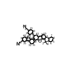 CC1(C)c2ccccc2-c2ccc3c(oc4ccc(-c5ccc(C#N)cc5-n5c6ccccc6c6cc(C#N)ccc65)cc43)c21